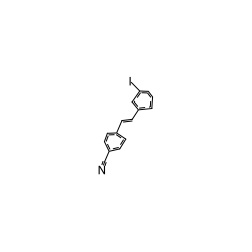 N#Cc1ccc(C=Cc2cccc(I)c2)cc1